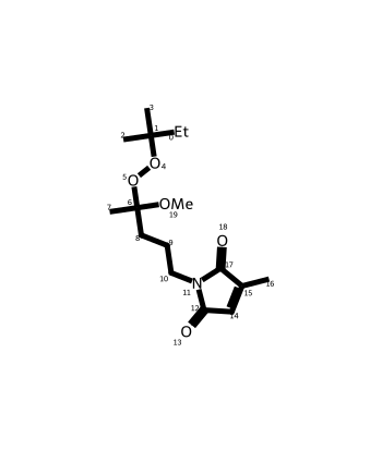 CCC(C)(C)OOC(C)(CCCN1C(=O)C=C(C)C1=O)OC